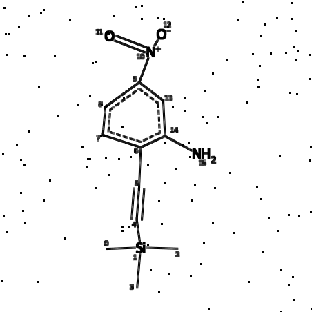 C[Si](C)(C)C#Cc1ccc([N+](=O)[O-])cc1N